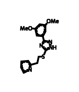 COc1cc(OC)cc(-c2n[nH]c(SCCc3ccccn3)n2)c1